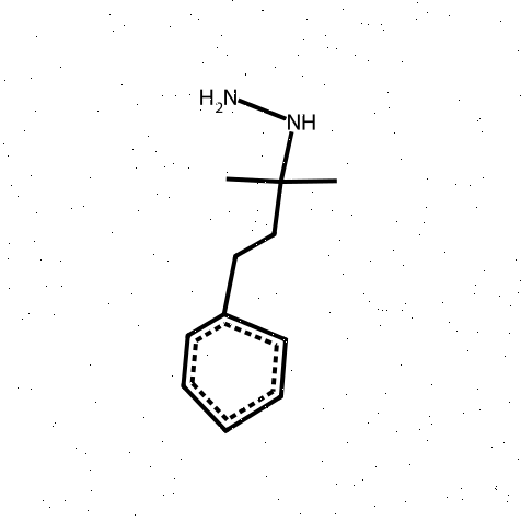 CC(C)(CCc1ccccc1)NN